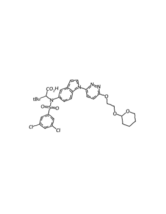 CC(C)(C)C(C(=O)O)N(c1ccc2c(ccn2-c2ccc(OCCOC3CCCCO3)nn2)c1)S(=O)(=O)c1cc(Cl)cc(Cl)c1